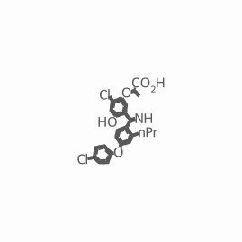 CCCc1cc(Oc2ccc(Cl)cc2)ccc1C(=N)c1cc(O[C@H](C)C(=O)O)c(Cl)cc1O